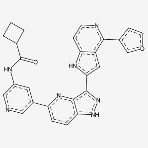 O=C(Nc1cncc(-c2ccc3[nH]nc(-c4cc5c(-c6ccoc6)nccc5[nH]4)c3n2)c1)C1CCC1